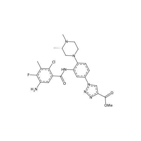 COC(=O)c1cn(-c2ccc(N3CCN(C)[C@@H](C)C3)c(NC(=O)c3cc(N)c(F)c(C)c3Cl)c2)nn1